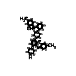 Cc1ccc(Sc2cc(N3CCN(c4ccccc4Sc4ccc(C)cc4C)CC3)ccc2N2CCNCC2)c(C)c1